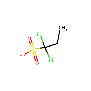 CCC(Cl)(Cl)S([O])(=O)=O